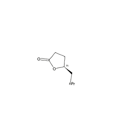 CCCC[C@@H]1CCC(=O)O1